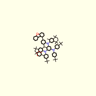 Cc1cc2c(cc1N1c3cc(-c4cccc5oc6ccccc6c45)ccc3B3c4cc5c(cc4N(c4ccc(C(C)(C)C)cc4-c4ccccc4)c4cc(N(c6ccc(C(C)(C)C)cc6)c6ccc(C(C)(C)C)cc6)cc1c43)C(C)(C)CC5(C)C)C(C)(C)CCC2(C)C